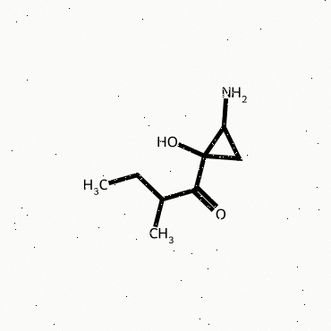 CCC(C)C(=O)C1(O)CC1N